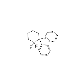 FC1(F)CCCCC1(c1ccccc1)c1ccccc1